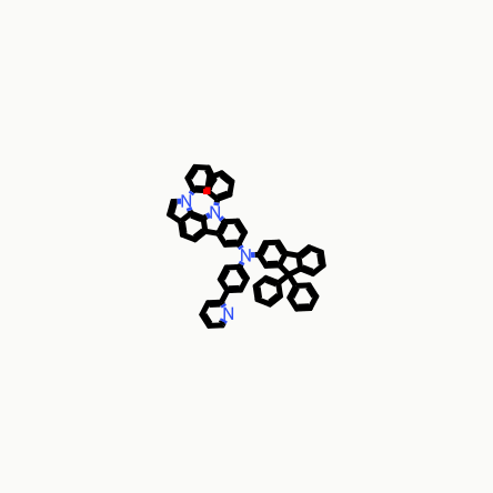 c1ccc(-n2ccc3ccc4c5cc(N(c6ccc(-c7ccccn7)cc6)c6ccc7c(c6)C(c6ccccc6)(c6ccccc6)c6ccccc6-7)ccc5n(-c5ccccc5)c4c32)cc1